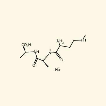 CPCCC(N)C(=O)N[C@@H](C)C(=O)N[C@@H](C)C(=O)O.[Na]